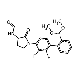 COP(OC)c1ccccc1-c1ccc(N2CCC(NC=O)C2=O)c(F)c1F